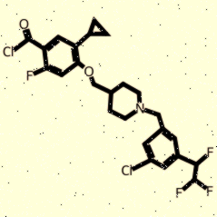 O=C(Cl)c1cc(C2CC2)c(OCC2CCN(Cc3cc(Cl)cc(C(F)C(F)F)c3)CC2)cc1F